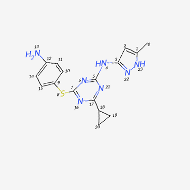 Cc1cc(Nc2nc(Sc3ccc(N)cc3)nc(C3CC3)n2)n[nH]1